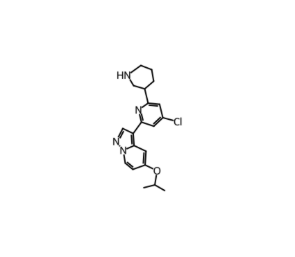 CC(C)Oc1ccn2ncc(-c3cc(Cl)cc(C4CCCNC4)n3)c2c1